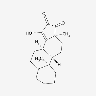 C[C@]12CC[C@H]3[C@@H](CCC4CCCC[C@@]43C)C1=C(O)C(=O)C2=O